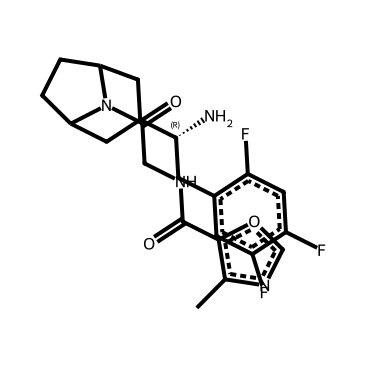 Cc1ncoc1C(=O)NCC(=O)N1C2CCC1CC([C@H](N)Cc1cc(F)c(F)cc1F)C2